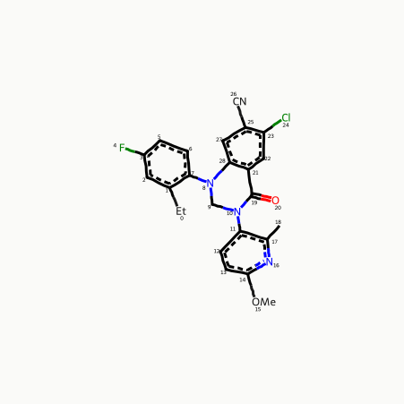 CCc1cc(F)ccc1N1CN(c2ccc(OC)nc2C)C(=O)c2cc(Cl)c(C#N)cc21